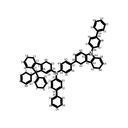 C1=CCC(C2(C3=CCCC=C3)C3=C(CCC=C3)C3=C2C=C(N(c2ccc(-c4ccccc4)cc2)c2ccc(C4C=Cc5c(c6c(n5-c5ccc(-c7ccccc7)cc5)C=CCC6)C4)cc2)CC3)C=C1